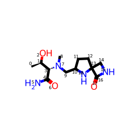 C[C@@H](O)[C@@H](C(N)=O)N(C)CC1CCC2(CNC2=O)N1